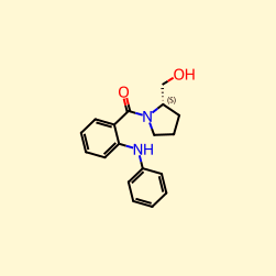 O=C(c1ccccc1Nc1ccccc1)N1CCC[C@H]1CO